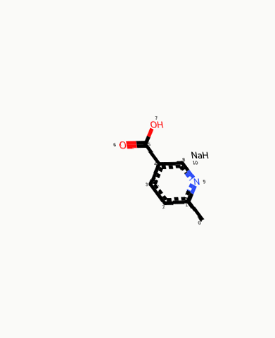 Cc1ccc(C(=O)O)cn1.[NaH]